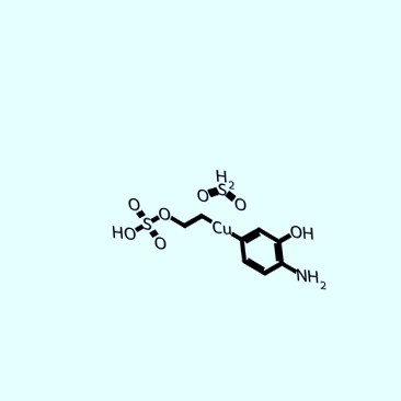 Nc1cc[c]([Cu][CH2]COS(=O)(=O)O)cc1O.O=[SH2]=O